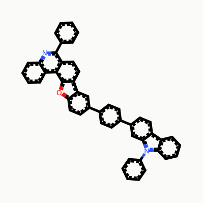 c1ccc(-c2nc3ccccc3c3c2ccc2c4cc(-c5ccc(-c6ccc7c8ccccc8n(-c8ccccc8)c7c6)cc5)ccc4oc23)cc1